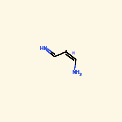 N=C/[C]=C\N